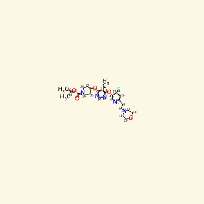 Cc1c(Oc2cnc(CCN3CCOCC3)cc2F)ncnc1OC1CCN(C(=O)OC(C)C)CC1